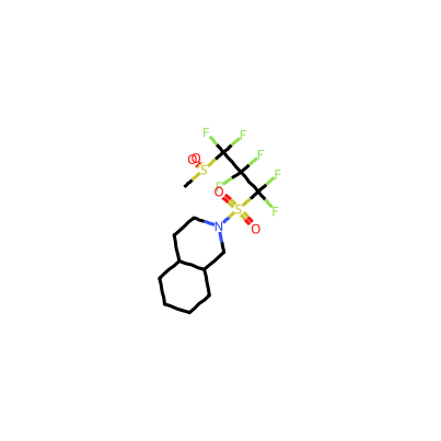 CS(=O)(=O)C(F)(F)C(F)(F)C(F)(F)S(=O)(=O)N1CCC2CCCCC2C1